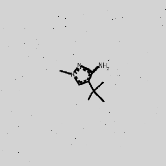 Cn1cc(C(C)(C)C)c(N)n1